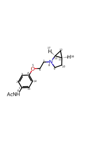 CC(=O)Nc1ccc(OCCN2CC[C@@H]3C[C@@H]32)cc1